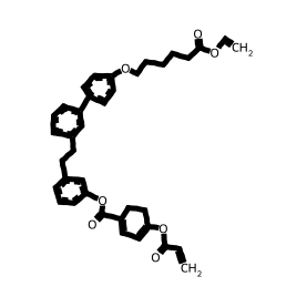 C=COC(=O)CCCCCOc1ccc(-c2cccc(CCc3cccc(OC(=O)C4=CC=C(OC(=O)C=C)CC4)c3)c2)cc1